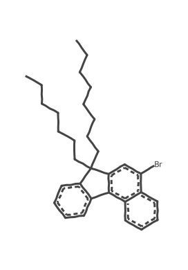 CCCCCCCCC1(CCCCCCC)c2ccccc2-c2c1cc(Br)c1ccccc21